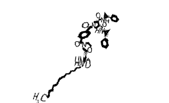 CCCCCCCCCCCCCCNC(=O)[C@H]1CN(C(=O)c2ccc(C(=O)N3C[C@@H](C(=O)N[C@H]4C[C@@H]4c4ccccc4)[C@H](C(=O)N[C@H]4C[C@@H]4c4ccccc4)C3)cc2)CCO1